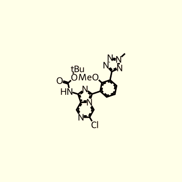 COc1c(-c2nnn(C)n2)cccc1-c1nc(NC(=O)OC(C)(C)C)c2cnc(Cl)cn12